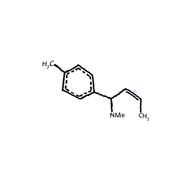 C/C=C\C(NC)c1ccc(C)cc1